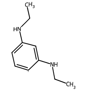 CCNc1[c]ccc(NCC)c1